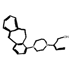 C=CC(CO)N1CCN(c2cccc3c2CCc2ccccc2C3)CC1